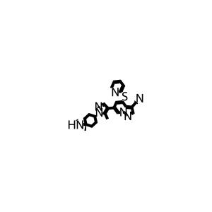 CN[C@]1(C)CC[C@H](n2ncc(-c3cc(Sc4ccccn4)c4c(C#N)cnn4c3)c2C)CC1